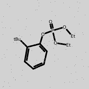 CCOP(=O)(OCC)Oc1ccccc1C(C)(C)C